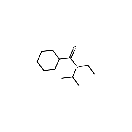 CCN(C(=O)C1CCCCC1)C(C)C